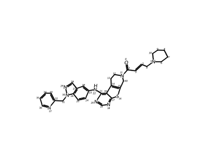 O=C(/C=C/CN1CCCCC1)N1CCc2c(sc3ncnc(Nc4ccc5c(cnn5Cc5ccccn5)c4)c23)C1